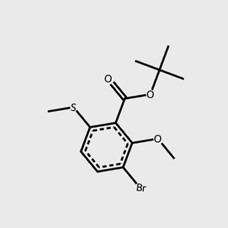 COc1c(Br)ccc(SC)c1C(=O)OC(C)(C)C